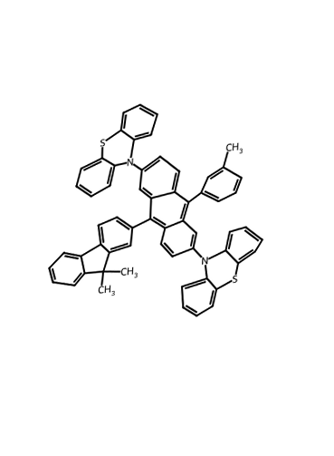 Cc1cccc(-c2c3ccc(N4c5ccccc5Sc5ccccc54)cc3c(-c3ccc4c(c3)C(C)(C)c3ccccc3-4)c3ccc(N4c5ccccc5Sc5ccccc54)cc23)c1